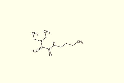 C=C(C(=O)NCCCC)N(CC)CC